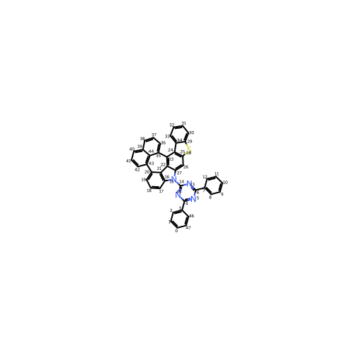 c1ccc(-c2nc(-c3ccccc3)nc(-n3c4cccc5c4c4c(c6c(cc43)sc3ccccc36)-c3cccc4cccc-5c34)n2)cc1